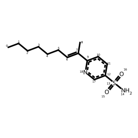 CCCCCCC=C(C)c1ccc(S(N)(=O)=O)cn1